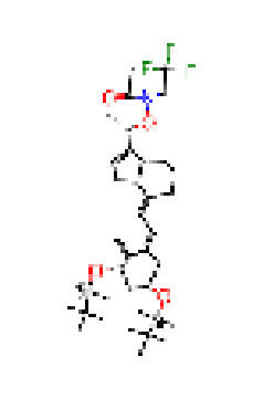 C=C1C(=CC=C2CCC[C@]3(C)C([C@H](C)ON(CC(F)(F)F)C(C)=O)=CCC23)C[C@@H](O[Si](C)(C)C(C)(C)C)C[C@@H]1O[Si](C)(C)C(C)(C)C